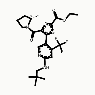 CCOC(=O)c1nc(C(=O)N2CCC[C@@H]2C)c(-c2cnc(NCC(C)(C)C)cc2C(F)(F)F)s1